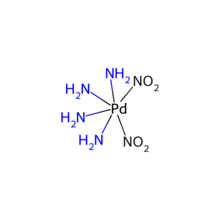 [NH2][Pd]([NH2])([NH2])([NH2])([N+](=O)[O-])[N+](=O)[O-]